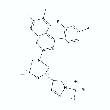 [2H]C([2H])([2H])n1cc([C@H]2CN(c3nc(-c4ccc(F)cc4F)c4nc(C)c(C)nc4n3)C[C@@H](C)O2)cn1